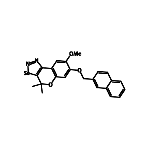 COc1cc2c(cc1OCc1ccc3ccccc3c1)OC(C)(C)c1[se]nnc1-2